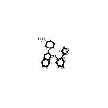 N[C@@H]1CCCN([C@@H]2Cc3ccccc3[C@@H]2Oc2ccc(Cl)cc2-c2ccno2)C1